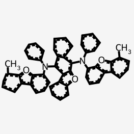 Cc1cccc2c1oc1c(N(c3ccccc3)c3c4ccccc4c(N(c4ccccc4)c4cccc5c4oc4c(C)cccc45)c4c3oc3ccccc34)cccc12